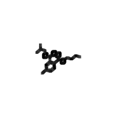 CCCCOC(=O)c1ccc(C)cc1C(=O)OCC(C)C